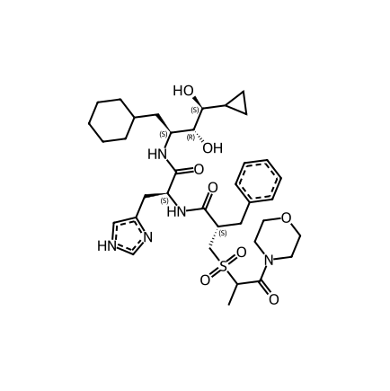 CC(C(=O)N1CCOCC1)S(=O)(=O)C[C@@H](Cc1ccccc1)C(=O)N[C@@H](Cc1c[nH]cn1)C(=O)N[C@@H](CC1CCCCC1)[C@@H](O)[C@@H](O)C1CC1